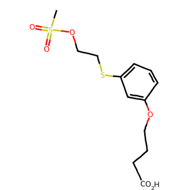 CS(=O)(=O)OCCSc1cccc(OCCCC(=O)O)c1